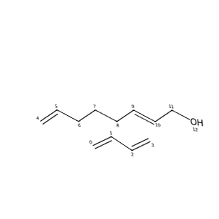 C=CC=C.C=CCCCC=CCO